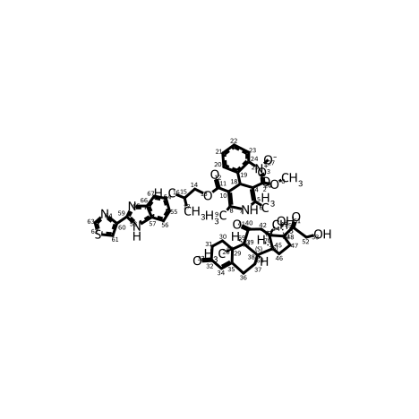 COC(=O)C1=C(C)NC(C)=C(C(=O)OCC(C)C)C1c1ccccc1[N+](=O)[O-].C[C@]12CCC(=O)C=C1CC[C@@H]1[C@@H]2C(=O)C[C@@]2(C)[C@H]1CC[C@]2(O)C(=O)CO.c1ccc2[nH]c(-c3cscn3)nc2c1